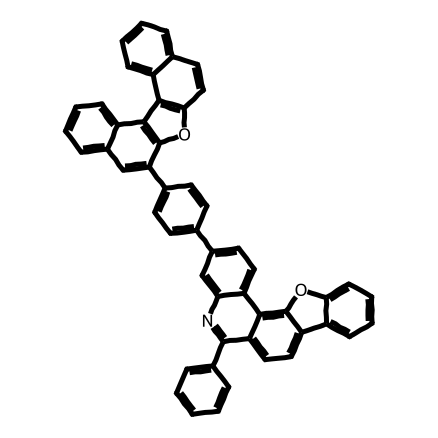 c1ccc(-c2nc3cc(-c4ccc(-c5cc6ccccc6c6c5oc5ccc7ccccc7c56)cc4)ccc3c3c2ccc2c4ccccc4oc23)cc1